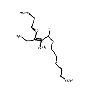 CCCCCCCCCCCCCCCOC(CC)C(N)=C(CN)OCCCCCCCCCCCC